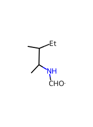 CCC(C)C(C)N[C]=O